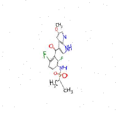 CCC(C)S(=O)(=O)Nc1ccc(F)c(C(=O)c2c[nH]c3ncc(OC)cc23)c1F